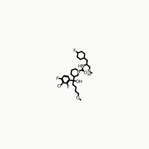 CNCC(CC1CCC(F)CC1)NC(=O)N1CCCC(C(O)(CCCCOC)c2ccc(F)c(Cl)c2F)C1